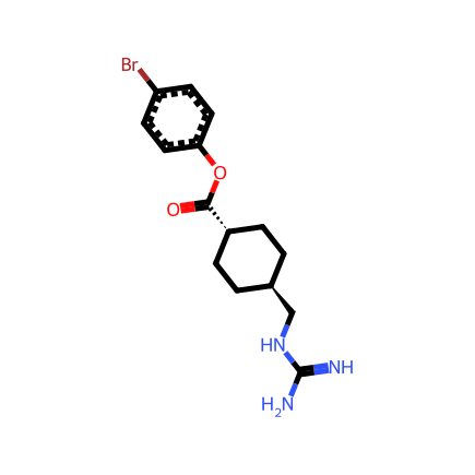 N=C(N)NC[C@H]1CC[C@H](C(=O)Oc2ccc(Br)cc2)CC1